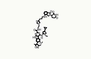 CCn1nc(C2CC2)cc1Nc1nc(C(=O)NCCn2cnc(CCCNc3cccc4c3CN(C3CCC(=O)NC3=O)C4=O)c2)nc2[nH]c3cc(-c4c(C)noc4C)c(OC)cc3c12